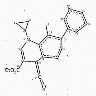 CCOC(=O)C1=CN(C2CC2)c2c(ccc(-c3cccnc3)c2C)C1=C=O